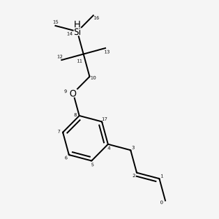 CC=CCc1cccc(OCC(C)(C)[SiH](C)C)c1